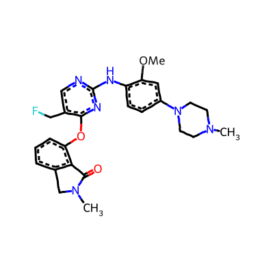 COc1cc(N2CCN(C)CC2)ccc1Nc1ncc(CF)c(Oc2cccc3c2C(=O)N(C)C3)n1